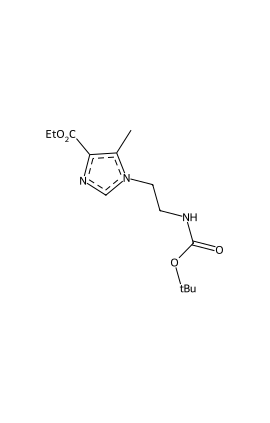 CCOC(=O)c1ncn(CCNC(=O)OC(C)(C)C)c1C